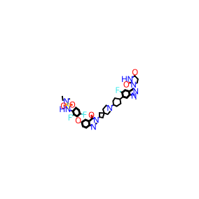 CCN(C)S(=O)(=O)Nc1ccc(F)c(Oc2ccc3ncn(C4CC5(CCN(C6CCC(c7cc8c(cc7F)c(N7CCC(=O)NC7=O)nn8C)CC6)CC5)C4)c(=O)c3c2)c1F